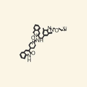 Cc1cc(CC(NC(=O)N2CCC(c3cc4ccccc4[nH]c3=O)CC2)c2cc3ccccc3cn2)cc2cn(COCC[Si](C)(C)C)nc12